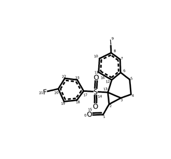 O=CC1C2CCc3cc(I)ccc3C12S(=O)(=O)c1ccc(F)cc1